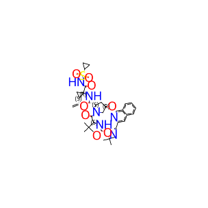 C=C[C@@H]1C[C@]1(NC(=O)[C@@H]1C[C@@H](Oc2nc(C#N)cc3ccccc23)CN1C(=O)[C@@H](NC(=O)OC(C)(C)C)C(C)(C)C)C(=O)NS(=O)(=O)C1CC1